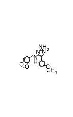 COc1cccc(-c2cnc(N)nc2NCc2ccc3c(c2)OCO3)c1